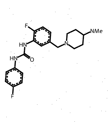 CNC1CCN(Cc2ccc(F)c(NC(=O)Nc3ccc(F)cc3)c2)CC1